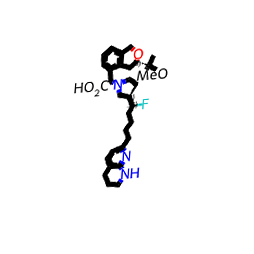 COC(C)(C)[C@@H]1Cc2c(cccc2C(C(=O)O)N2CC[C@@H]([C@@H](F)CCCCc3ccc4c(n3)NCCC4)C2)CO1